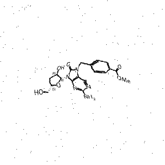 COC(=O)c1ccc(Cn2c(=O)n([C@@H]3O[C@H](CO)C[C@H]3O)c3nc(N)ncc32)cc1